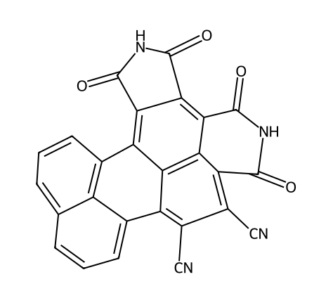 N#Cc1c2c3c(c4c(=O)[nH]c(=O)c4c4c5cccc6cccc(c(c1C#N)c34)c65)C(=O)NC2=O